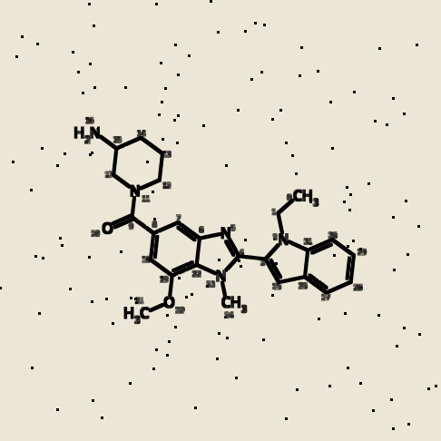 CCn1c(-c2nc3cc(C(=O)N4CCCC(N)C4)cc(OC)c3n2C)cc2ccccc21